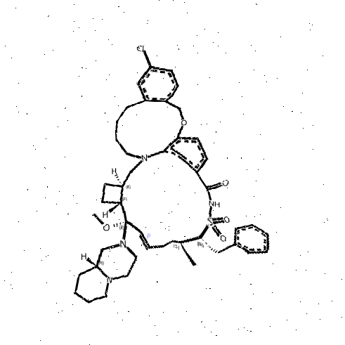 CO[C@@]1(N2CCN3CCCC[C@@H]3C2)/C=C/C[C@H](C)[C@@H](Cc2ccccc2)S(=O)(=O)NC(=O)c2ccc3c(c2)N(CCCCc2cc(Cl)ccc2CO3)C[C@@H]2CC[C@H]21